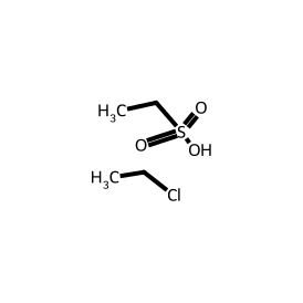 CCCl.CCS(=O)(=O)O